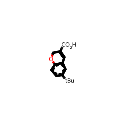 CC(C)(C)c1ccc2c(c1)C=C(C(=O)O)CO2